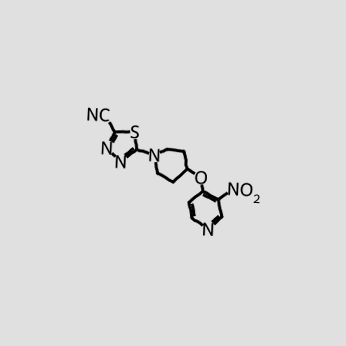 N#Cc1nnc(N2CCC(Oc3ccncc3[N+](=O)[O-])CC2)s1